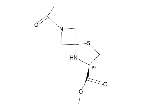 COC(=O)[C@@H]1CSC2(CN(C(C)=O)C2)N1